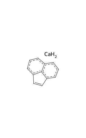 C1=Cc2cccc3cccc1c23.[CaH2]